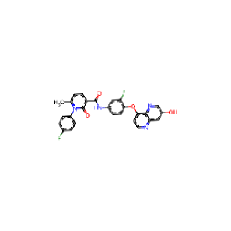 Cc1ccc(C(=O)Nc2ccc(Oc3ccnc4cc(O)cnc34)c(F)c2)c(=O)n1-c1ccc(F)cc1